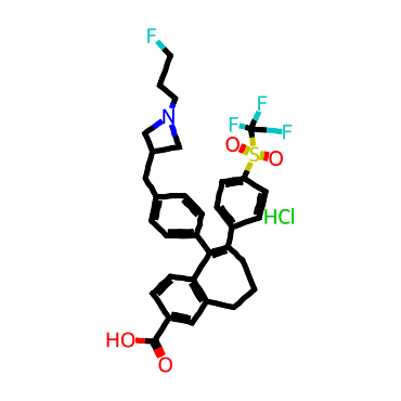 Cl.O=C(O)c1ccc2c(c1)CCCC(c1ccc(S(=O)(=O)C(F)(F)F)cc1)=C2c1ccc(CC2CN(CCCF)C2)cc1